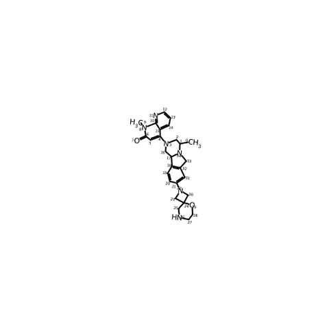 CC1CN(c2cc(=O)n(C)c3ncccc23)CC2c3ccc(N4CC5(CNCCO5)C4)cc3CN12